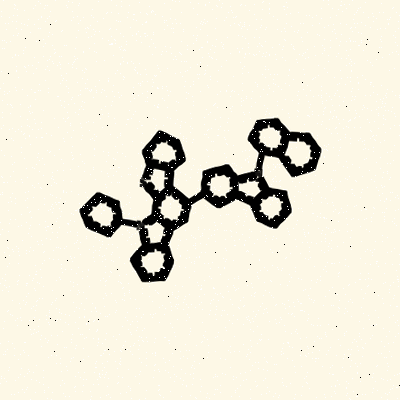 c1ccc(-n2c3ccccc3c3cc(-c4ccc5c(c4)c4ccccc4n5-c4cccc5ccccc45)c4c5ccccc5sc4c32)cc1